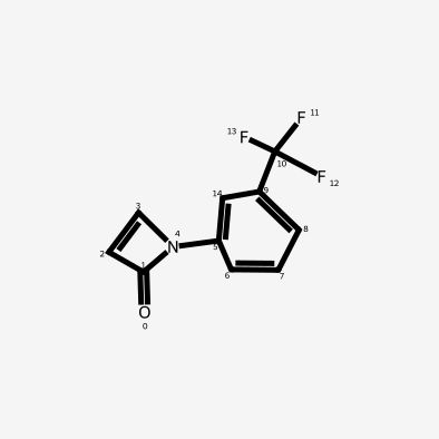 O=C1C=CN1c1cccc(C(F)(F)F)c1